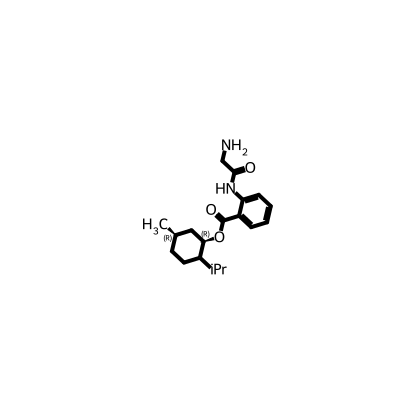 CC(C)C1CC[C@@H](C)C[C@H]1OC(=O)c1ccccc1NC(=O)CN